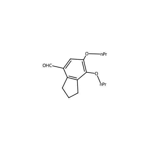 CCCOc1cc(C=O)c2c(c1OCCC)CCC2